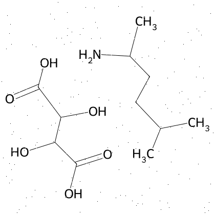 CC(C)CCC(C)N.O=C(O)C(O)C(O)C(=O)O